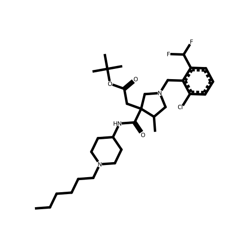 CCCCCCN1CCC(NC(=O)C2(CC(=O)OC(C)(C)C)CN(Cc3c(Cl)cccc3C(F)F)CC2C)CC1